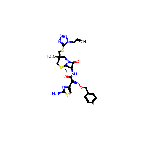 C=CCn1nnnc1SCC1(C(=O)O)CS[C@@H]2C(NC(=O)C(=NOCc3ccc(F)cc3)c3csc(N)n3)C(=O)N2C1